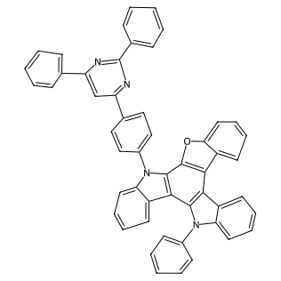 c1ccc(-c2cc(-c3ccc(-n4c5ccccc5c5c4c4oc6ccccc6c4c4c6ccccc6n(-c6ccccc6)c45)cc3)nc(-c3ccccc3)n2)cc1